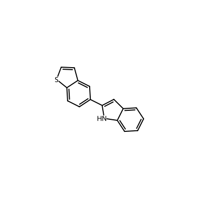 c1ccc2[nH]c(-c3ccc4sccc4c3)cc2c1